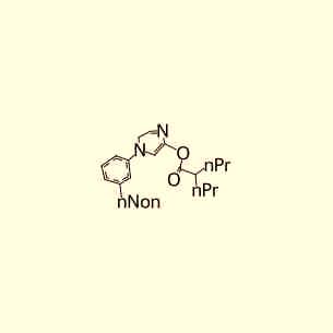 CCCCCCCCCc1cccc(N2C=C(OC(=O)C(CCC)CCC)N=CC2)c1